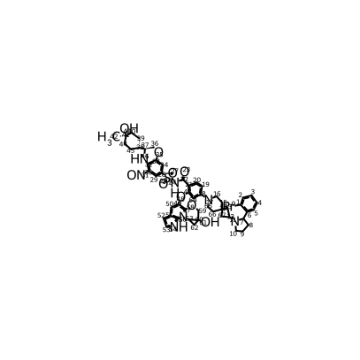 CC(C)c1ccccc1C1CCCN1C1CC2(CCN(c3ccc(C(=O)NS(=O)(=O)c4cc(N=O)c5c(c4)OC[C@H]([C@H]4CC[C@](C)(O)CC4)N5)c(Oc4cc5cc[nH]c5nc4OCC4(O)CC4)c3)CC2)C1